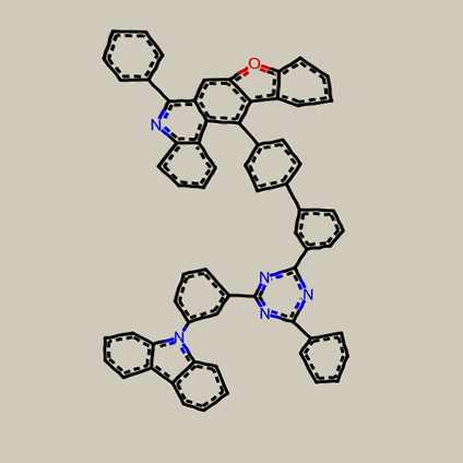 c1ccc(-c2nc(-c3cccc(-c4ccc(-c5c6c(cc7c(-c8ccccc8)nc8ccccc8c57)oc5ccccc56)cc4)c3)nc(-c3cccc(-n4c5ccccc5c5ccccc54)c3)n2)cc1